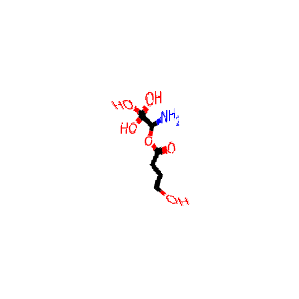 NC(OC(=O)CCCO)C(O)(O)O